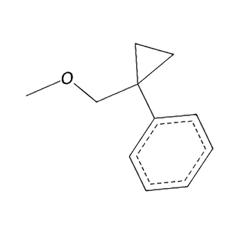 COCC1(c2ccccc2)CC1